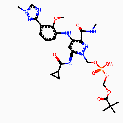 CNC(=O)c1nn(COP(=O)(O)OCOC(=O)C(C)(C)C)/c(=N/C(=O)C2CC2)cc1Nc1cccc(-c2ncn(C)n2)c1OC